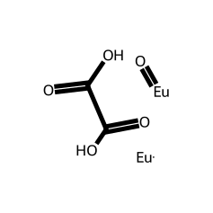 O=C(O)C(=O)O.[Eu].[O]=[Eu]